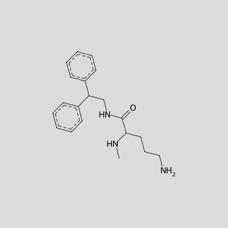 CNC(CCCN)C(=O)NCC(c1ccccc1)c1ccccc1